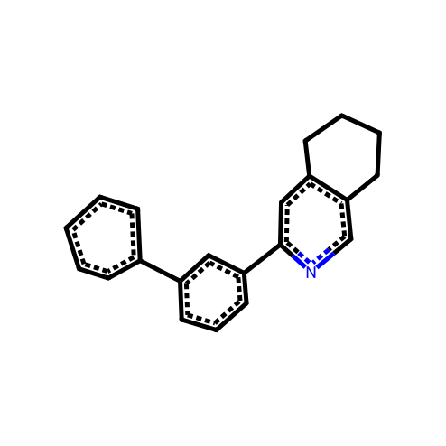 c1ccc(-c2cccc(-c3cc4c(cn3)CCCC4)c2)cc1